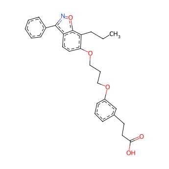 CCCc1c(OCCCOc2cccc(CCC(=O)O)c2)ccc2c(-c3ccccc3)noc12